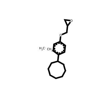 [CH2].[CH2].[CH]1CCCCCCC1c1ccc(OCC2CO2)cc1